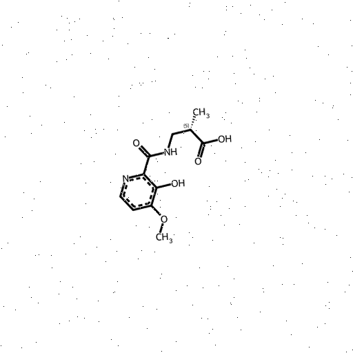 COc1ccnc(C(=O)NC[C@H](C)C(=O)O)c1O